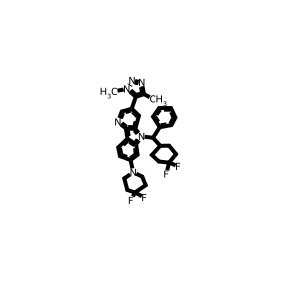 Cc1nnn(C)c1-c1cnc2c3ccc(N4CCC(F)(F)CC4)cc3n(C(c3ccccc3)C3CCC(F)(F)CC3)c2c1